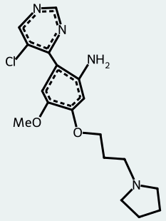 COc1cc(-c2ncncc2Cl)c(N)cc1OCCCN1CCCC1